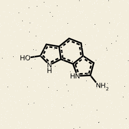 Nc1cc2ccc3cc(O)[nH]c3c2[nH]1